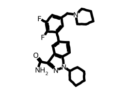 NC(=O)c1nn(C2CCCCC2)c2ccc(-c3cc(CN4CCCCC4)cc(F)c3F)cc12